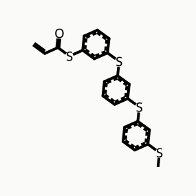 C=CC(=O)Sc1cccc(Sc2cccc(Sc3cccc(SC)c3)c2)c1